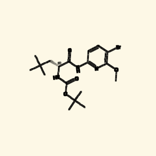 COc1nc(NC(=O)[C@@H](CC(C)(C)C)NC(=O)OC(C)(C)C)ccc1Br